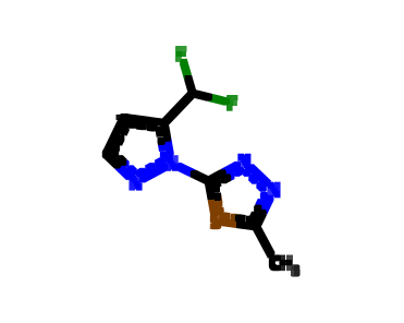 Cc1nnc(-n2nc[c]c2C(F)F)s1